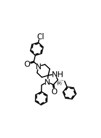 O=C(c1ccc(Cl)cc1)N1CCC2(CC1)N[C@H](Cc1ccccc1)C(=O)N2Cc1ccccc1